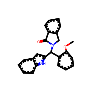 COc1ccccc1C(c1cc2ccccc2[nH]1)N1Cc2ccccc2C1=O